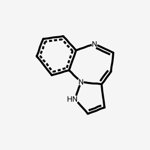 C1=CC2=CC=Nc3ccccc3N2N1